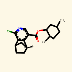 CC1CCC(C(C)C)C(OC(=O)c2cnc(Cl)c3c2[C@@H]2CCC3C2)C1